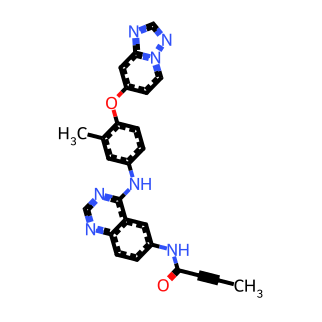 CC#CC(=O)Nc1ccc2ncnc(Nc3ccc(Oc4ccn5ncnc5c4)c(C)c3)c2c1